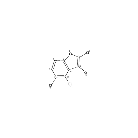 Clc1ccc2oc(Cl)c(Cl)c2c1Cl